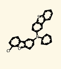 Clc1cccc2c1oc1ccc(N(c3ccccc3)c3ccc4sc5ccccc5c4c3)cc12